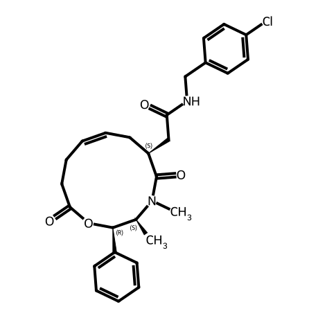 C[C@H]1[C@@H](c2ccccc2)OC(=O)CCC=CC[C@@H](CC(=O)NCc2ccc(Cl)cc2)C(=O)N1C